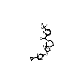 O=C(c1cccc(C(F)(F)F)n1)N1CCCN2C[C@H](Oc3cnc(C4CC4)cn3)C[C@@H]2C1